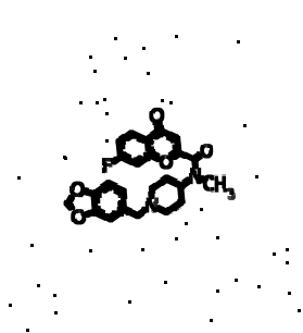 CN(C(=O)c1cc(=O)c2ccc(F)cc2o1)C1CCN(Cc2ccc3c(c2)OCO3)CC1